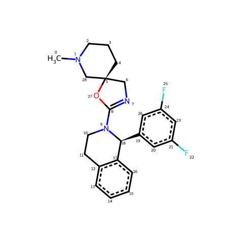 CN1CCC[C@]2(CN=C(N3CCc4ccccc4[C@@H]3c3cc(F)cc(F)c3)O2)C1